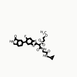 COCCS(=O)(=O)C(C(=O)NCC(=O)NC1CC1)c1nc2cc(-c3ccc4c(c3)C(=O)NC4)c(F)cc2s1